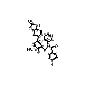 Cl.O=C(c1ccc(F)cc1)N(Cc1cc(-c2ccc3[nH]c(=O)oc3c2)ccc1F)C1CN2CCC1CC2